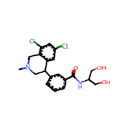 CN1Cc2c(Cl)cc(Cl)cc2C(c2cccc(C(=O)NC(CO)CO)c2)C1